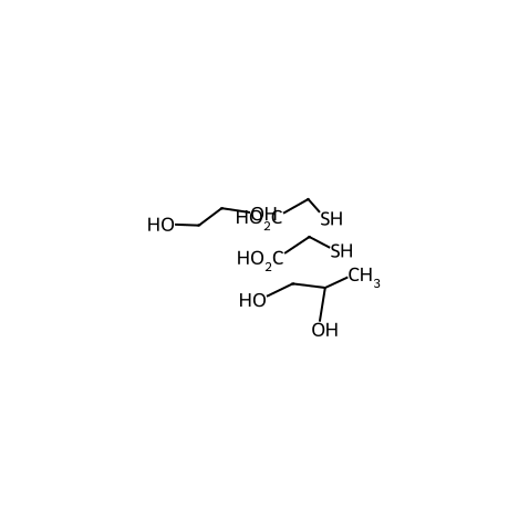 CC(O)CO.O=C(O)CS.O=C(O)CS.OCCO